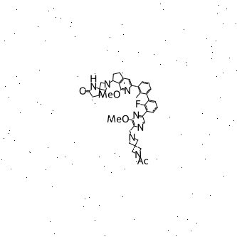 COc1nc(-c2cccc(-c3cccc(-c4cc5c(c(OC)n4)C(N4CC6(CCC(=O)N6)C4)CC5)c3C)c2F)cnc1CN1CC2(C1)CN(C(C)=O)C2